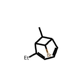 CCC1=CC=CC2C(C)C1C2Br